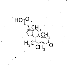 CC1C2=CC(=O)CCC2(C)C2CCC3(C)C(CC[C@H]3CCC(=O)O)C2C1C